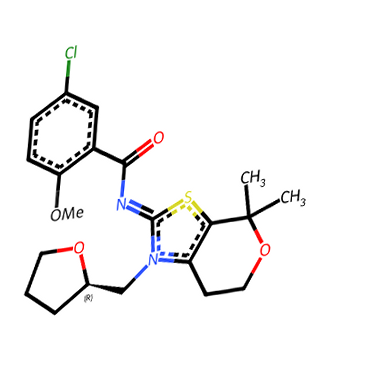 COc1ccc(Cl)cc1C(=O)N=c1sc2c(n1C[C@H]1CCCO1)CCOC2(C)C